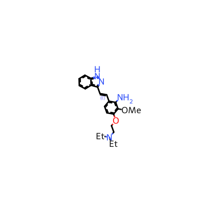 CCN(CC)CCOc1ccc(/C=C/c2n[nH]c3ccccc23)c(N)c1OC